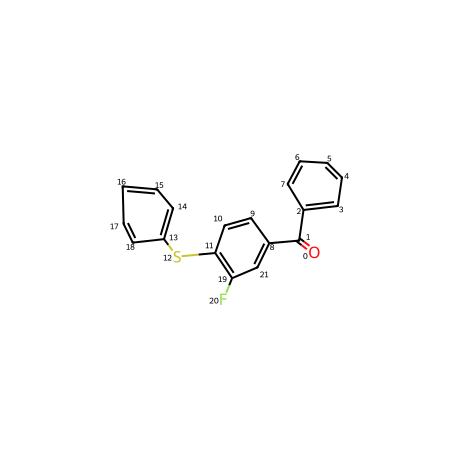 O=C(c1ccccc1)c1ccc(Sc2ccccc2)c(F)c1